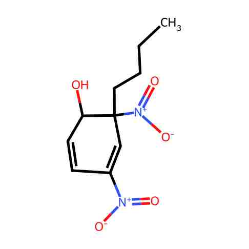 CCCCC1([N+](=O)[O-])C=C([N+](=O)[O-])C=CC1O